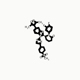 Cc1noc(C)c1-c1ccc2c(c1)nc([C@@H]1CCCC(=O)N1c1ccc(F)c(F)c1)n2-c1nc(C2=CCC(S(C)(=O)=O)CC2)cs1